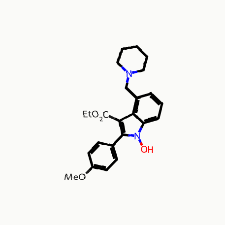 CCOC(=O)c1c(-c2ccc(OC)cc2)n(O)c2cccc(CN3CCCCC3)c12